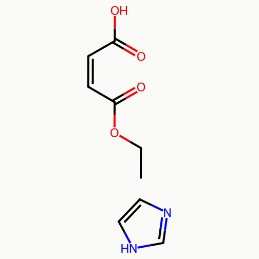 CCOC(=O)/C=C\C(=O)O.c1c[nH]cn1